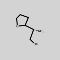 N[C@H](CO)C1CCCO1